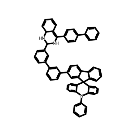 C1=CC2=C(c3ccc(-c4ccccc4)cc3)NC(c3cccc(-c4cccc(-c5ccc6c(c5)C5(c7ccccc7-6)c6ccccc6N(c6ccccc6)c6ccccc65)c4)c3)NC2C=C1